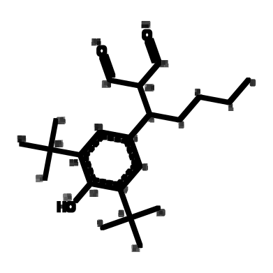 CCCCC(c1cc(C(C)(C)C)c(O)c(C(C)(C)C)c1)C(C=O)C=O